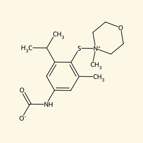 Cc1cc(NC(=O)[O-])cc(C(C)C)c1S[N+]1(C)CCOCC1